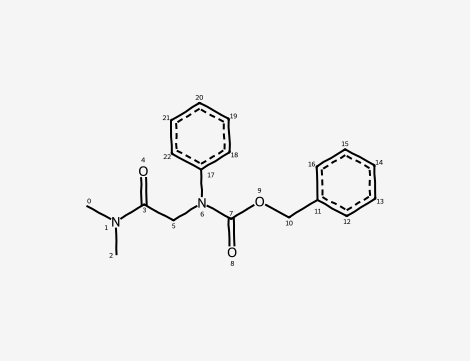 CN(C)C(=O)CN(C(=O)OCc1ccccc1)c1ccccc1